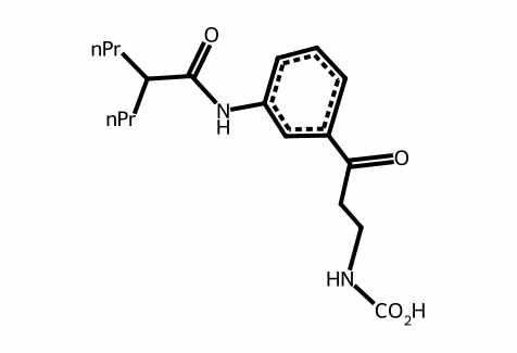 CCCC(CCC)C(=O)Nc1cccc(C(=O)CCNC(=O)O)c1